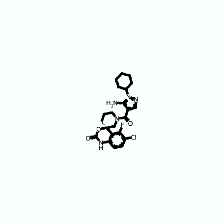 Nc1c(C(=O)N2CCC[C@@]3(C2)OC(=O)Nc2ccc(Cl)c(F)c23)cnn1C1CCCCC1